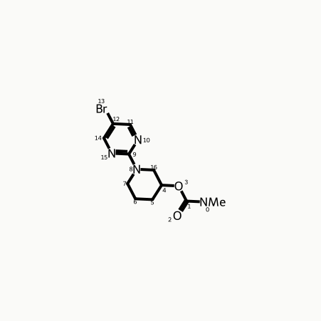 CNC(=O)OC1CCCN(c2ncc(Br)cn2)C1